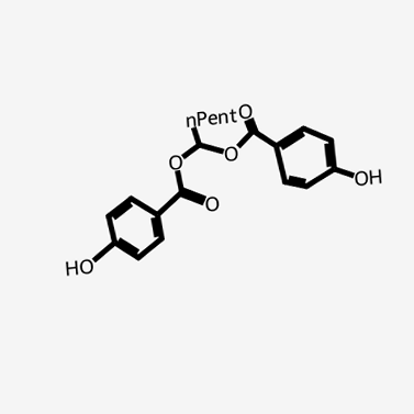 CCCCCC(OC(=O)c1ccc(O)cc1)OC(=O)c1ccc(O)cc1